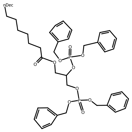 CCCCCCCCCCCCCCCCC(=O)OCC(COP(=O)(OCc1ccccc1)OCc1ccccc1)OP(=O)(OCc1ccccc1)OCc1ccccc1